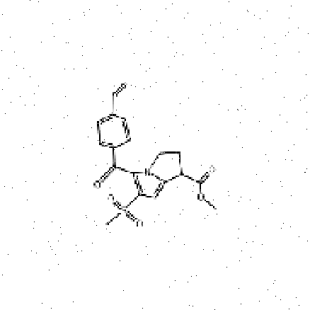 C=Cc1ccc(C(=O)c2c(S(C)(=O)=O)cc3n2CCC3C(=O)OC)cc1